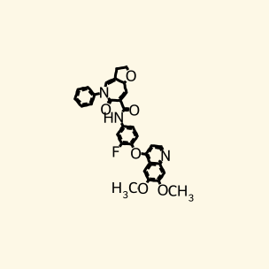 COc1cc2nccc(Oc3ccc(NC(=O)C4=CC5OCCC5=CN(c5ccccc5)C4=O)cc3F)c2cc1OC